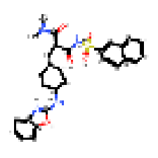 CCN(CC)C(=O)C(C[C@H]1CC[C@H](Nc2nc3ccccc3o2)CC1)C(=O)NS(=O)(=O)c1ccc2ccccc2c1